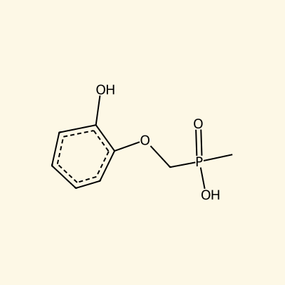 CP(=O)(O)COc1ccccc1O